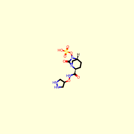 O=C(NOC1CNNC1)[C@@H]1CC[C@@H]2CN1C(=O)N2OS(=O)(=O)O